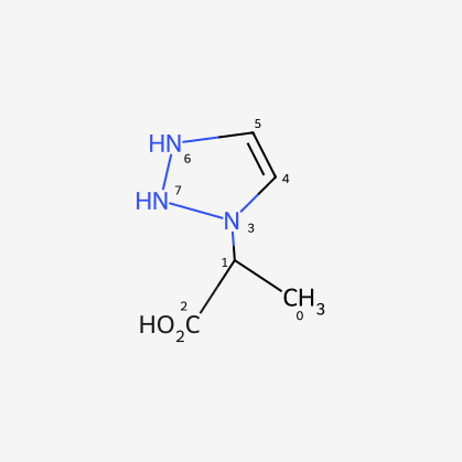 CC(C(=O)O)N1C=CNN1